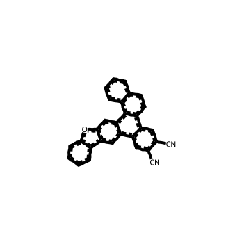 N#Cc1cc2c(cc1C#N)c1ccc3ccccc3c1c1cc3oc4ccccc4c3cc21